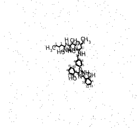 CCCCC(NO)NC(=O)C(C)C(=O)N(O)C(CCCC)NCc1ccc(N2NC(c3ccccc3O)N=C2c2ccccc2O)cc1